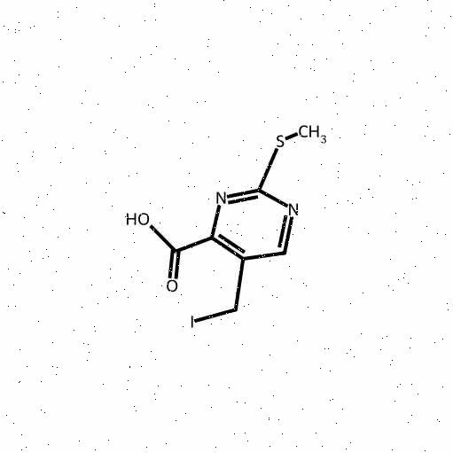 CSc1ncc(CI)c(C(=O)O)n1